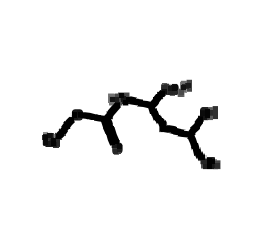 CC(C)(C)OC(=O)NC(CC(O)C(C)(C)C)C(=O)O